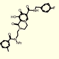 CCCN(CCN1CCn2cc(C(=O)NCc3ccc(F)cc3)c(=O)c(O)c2C1=O)C(=O)c1cccc(C)c1